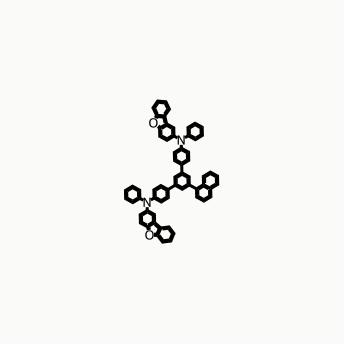 c1ccc(N(c2ccc(-c3cc(-c4ccc(N(c5ccccc5)c5ccc6oc7ccccc7c6c5)cc4)cc(-c4cccc5ccccc45)c3)cc2)c2ccc3oc4ccccc4c3c2)cc1